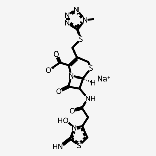 Cn1nnnc1SCC1=C(C(=O)[O-])N2C(=O)C(NC(=O)Cc3csc(=N)n3O)[C@@H]2SC1.[Na+]